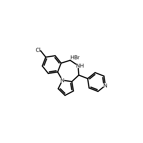 Br.Clc1ccc2c(c1)CNC(c1ccncc1)c1cccn1-2